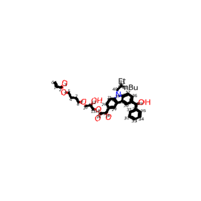 C=CC(=O)OCCCCOCC(O)COC(=O)C(=O)c1ccc2c(c1)c1cc(C(O)c3ccccc3)ccc1n2CC(CC)CCCC